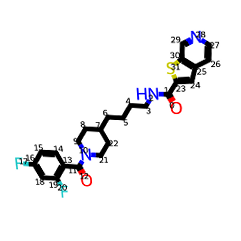 O=C(NCCCCC1CCN(C(=O)c2ccc(F)cc2F)CC1)c1cc2ccncc2s1